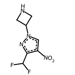 O=[N+]([O-])c1cn(C2CNC2)nc1C(F)F